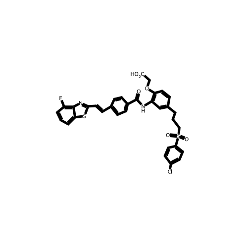 O=C(O)COc1ccc(CCCS(=O)(=O)c2ccc(Cl)cc2)cc1NC(=O)c1ccc(/C=C/c2nc3c(F)cccc3s2)cc1